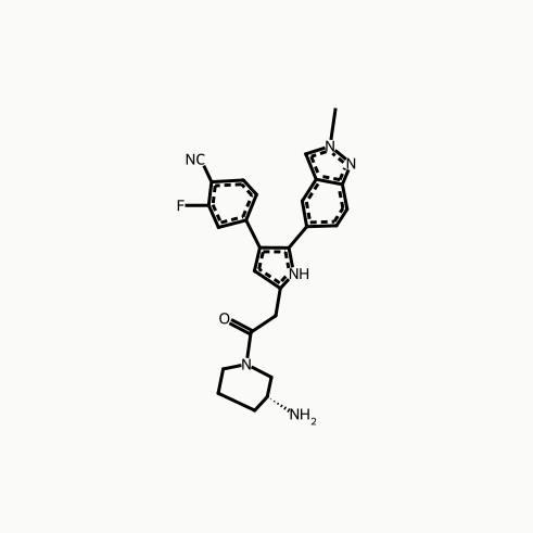 Cn1cc2cc(-c3[nH]c(CC(=O)N4CCC[C@@H](N)C4)cc3-c3ccc(C#N)c(F)c3)ccc2n1